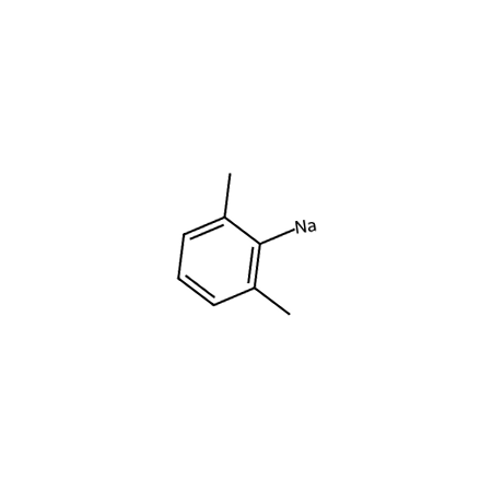 Cc1cccc(C)[c]1[Na]